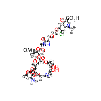 CC[C@H]1OC(=O)[C@H](C)[C@@H](OC2C[C@@](C)(OC)[C@@H](OC(=O)CNC(=O)CCOCCOc3cc4c(=O)c(C(=O)O)cn(C5CC5)c4cc3Cl)[C@H](C)O2)[C@H](C)[C@@H](O[C@@H]2O[C@H](C)C[C@H](N(C)C)[C@H]2O)[C@](C)(O)C[C@@H](C)CN(C)[C@H](C)[C@H](O)[C@]1(C)O